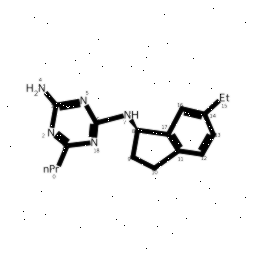 CCCc1nc(N)nc(N[C@@H]2CCc3ccc(CC)cc32)n1